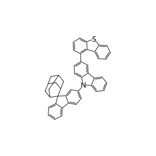 c1ccc2c(c1)-c1ccc(-n3c4ccccc4c4cc(-c5cccc6sc7ccccc7c56)ccc43)cc1C21C2CC3CC(C2)CC1C3